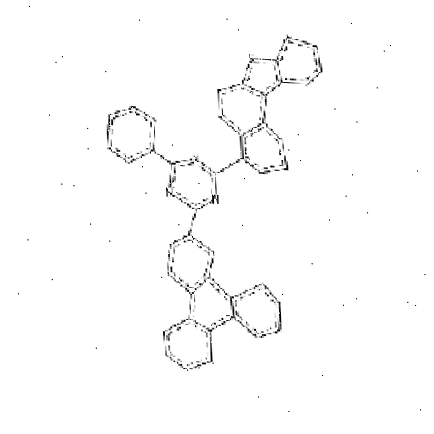 c1ccc(-c2nc(-c3ccc4c5ccccc5c5ccccc5c4c3)nc(-c3cccc4c3ccc3sc5ccccc5c34)n2)cc1